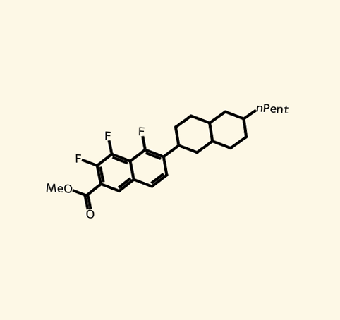 CCCCCC1CCC2CC(c3ccc4cc(C(=O)OC)c(F)c(F)c4c3F)CCC2C1